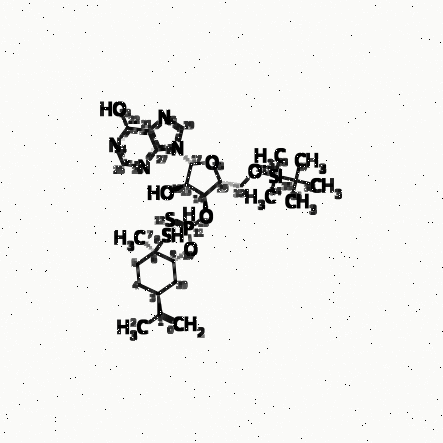 C=C(C)[C@H]1CC[C@@](C)(S)[C@H](O[PH](=S)O[C@H]2[C@@H](O)[C@H](n3cnc4c(O)ncnc43)O[C@@H]2CO[Si](C)(C)C(C)(C)C)C1